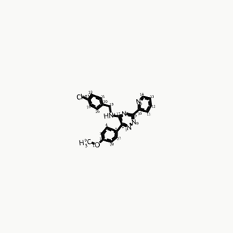 COc1ccc(-c2nnc(-c3ccccn3)nc2NCc2ccc(Cl)cc2)cc1